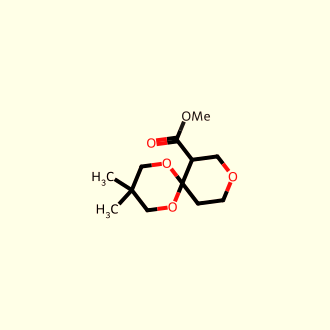 COC(=O)C1COCCC12OCC(C)(C)CO2